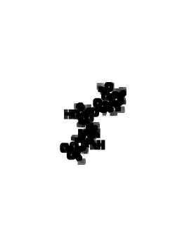 C#C[C@]1(COC(=O)CC(C)(C)c2c(C)cc(C)cc2OC(C)=O)O[C@@H](n2cnc3c(=N)n(Cc4oc(=O)oc4C)c(C)nc32)C[C@@H]1O